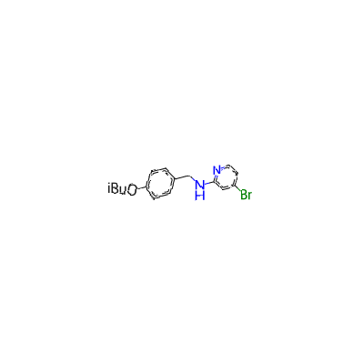 CC(C)COc1ccc(CNc2cc(Br)ccn2)cc1